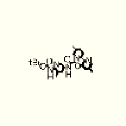 Cc1ccc([C@H]2CC[C@H](C)CN2C(=O)C(=O)Nc2cnc(NC(=O)OC(C)(C)C)c(C)c2)nc1